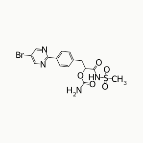 CS(=O)(=O)NC(=O)C(Cc1ccc(-c2ncc(Br)cn2)cc1)OC(N)=O